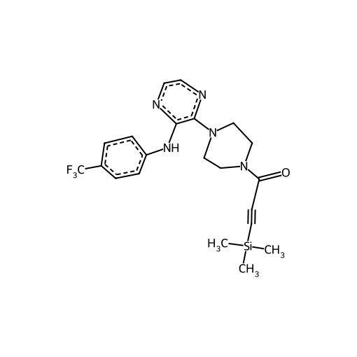 C[Si](C)(C)C#CC(=O)N1CCN(c2nccnc2Nc2ccc(C(F)(F)F)cc2)CC1